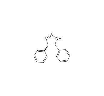 [C]1=N[C@H](c2ccccc2)C(c2ccccc2)N1